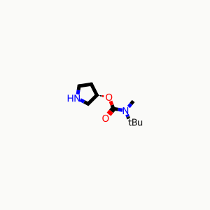 CN(C(=O)O[C@H]1CCNC1)C(C)(C)C